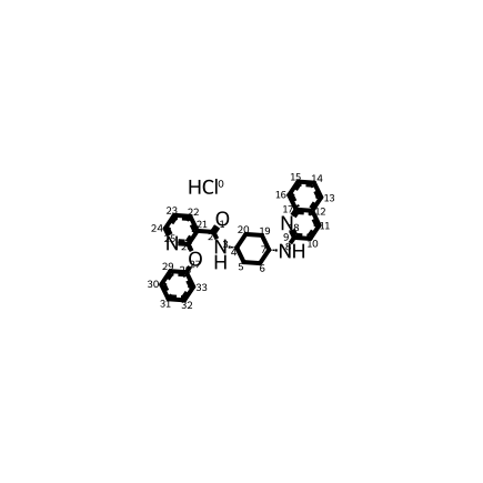 Cl.O=C(N[C@H]1CC[C@@H](Nc2ccc3ccccc3n2)CC1)c1cccnc1Oc1ccccc1